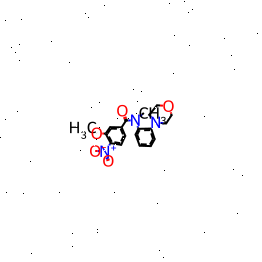 COc1cc(C(=O)N(C)c2ccccc2N2CCOCC2)ccc1[N+](=O)[O-]